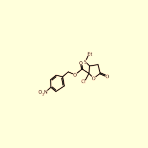 CCSC1CC(=O)OC1(Cl)C(=O)OCc1ccc([N+](=O)[O-])cc1